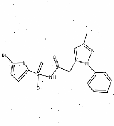 Cc1cc(CC(=O)NS(=O)(=O)c2ccc(Br)s2)n(-c2ccccc2)n1